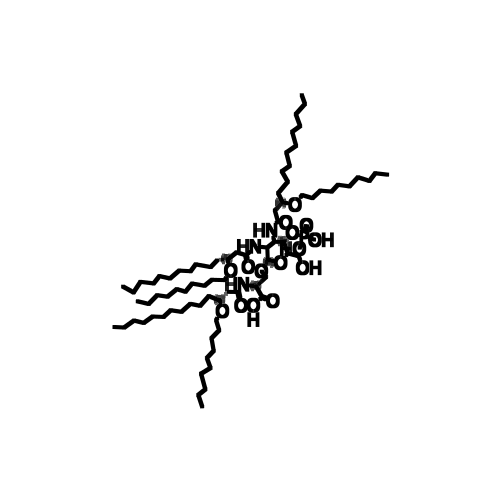 CCCCCCCCCCC[C@H](CC(=O)NC1C(NC(=O)C[C@@H](CCCCCCCCCCC)OCCCCCCCCCC)[C@H](OP(=O)(O)O)C(CO)O[C@H]1OC[C@H](NC(=O)C[C@@H](CCCCCCCCCCC)OCCCCCCCCCC)C(=O)O)OCCCCCCCCCC